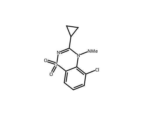 CNN1C(C2CC2)=NS(=O)(=O)c2cccc(Cl)c21